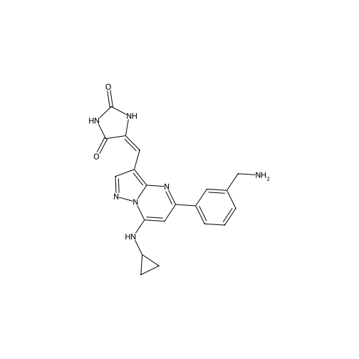 NCc1cccc(-c2cc(NC3CC3)n3ncc(/C=C4/NC(=O)NC4=O)c3n2)c1